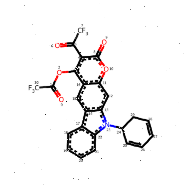 O=C(Oc1c(C(=O)C(F)(F)F)c(=O)oc2cc3c(cc12)c1ccccc1n3C1C=CC=CC1)C(F)(F)F